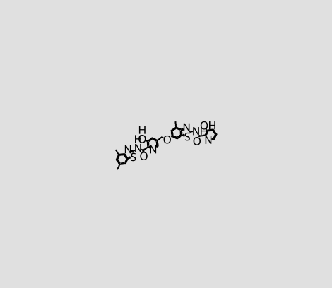 Cc1cc(C)c2nc(NC(=O)c3ncc(COc4cc(C)c5nc(NC(=O)c6ncccc6O)sc5c4)cc3O)sc2c1